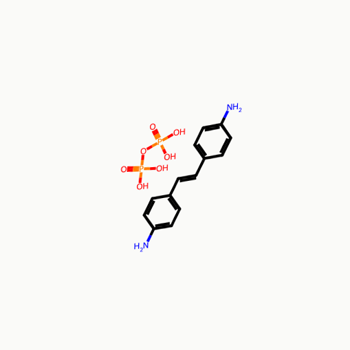 Nc1ccc(C=Cc2ccc(N)cc2)cc1.O=P(O)(O)OP(=O)(O)O